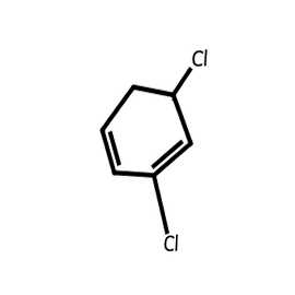 Cl[C]1C=C(Cl)C=CC1